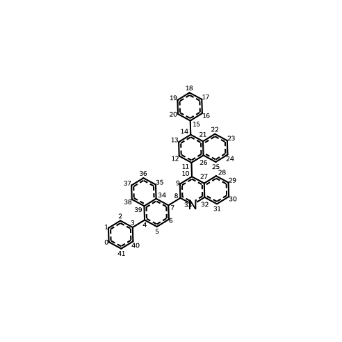 c1ccc(-c2ccc(-c3cc(-c4ccc(-c5ccccc5)c5ccccc45)c4ccccc4n3)c3ccccc23)cc1